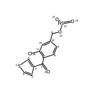 O=C(c1[c]csc1)c1ccc(CO[SH](=O)=O)cc1Cl